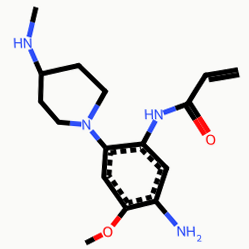 C=CC(=O)Nc1cc(N)c(OC)cc1N1CCC(NC)CC1